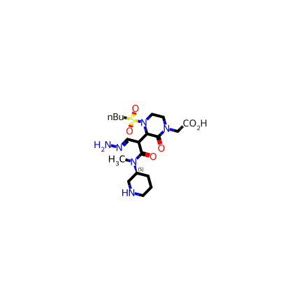 CCCCS(=O)(=O)N1CCN(CC(=O)O)C(=O)C1C(C=NN)C(=O)N(C)[C@H]1CCCNC1